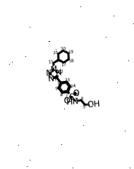 O=S(=O)(NCCO)c1ccc(-c2nnn(CC3CCCCC3)n2)cc1